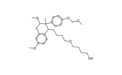 COCOc1ccc(C2(C)C(OC)Sc3cc(OC)ccc3C2CCCCOCCCCO)cc1